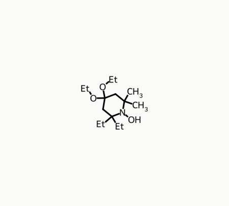 CCOC1(OCC)CC(C)(C)N(O)C(CC)(CC)C1